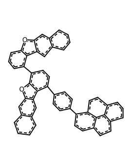 c1ccc2cc3c(cc2c1)oc1cccc(-c2ccc(-c4ccc(-c5ccc6ccc7cccc8ccc5c6c78)cc4)c4c2oc2cc5ccccc5cc24)c13